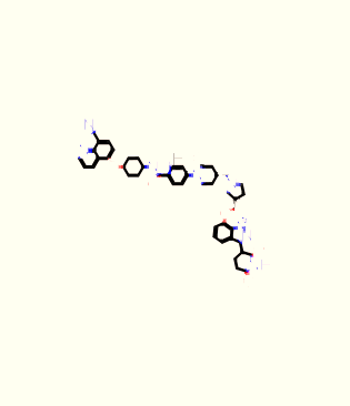 C[C@@H]1C[C@@H](CN2CC[C@@H](COc3cccc4c(C5CCC(=O)NC5=O)nn(C)c34)C2)CCN1c1ccc(C(=O)NC2CCC(Oc3ccc(C#N)c4ncccc34)CC2)cc1